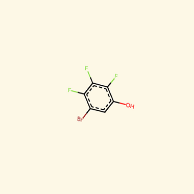 Oc1cc(Br)c(F)c(F)c1F